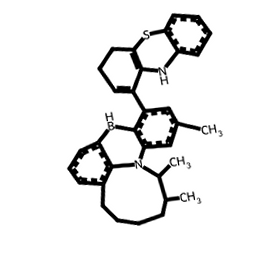 Cc1cc(C2=CCCC3=C2Nc2ccccc2S3)c2c(c1)N1c3c(cccc3CCCCC(C)C1C)B2